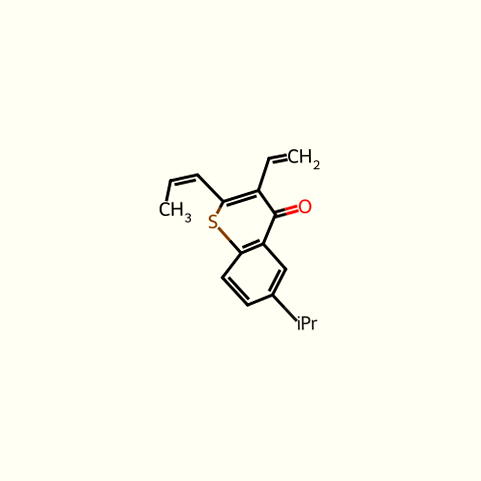 C=Cc1c(/C=C\C)sc2ccc(C(C)C)cc2c1=O